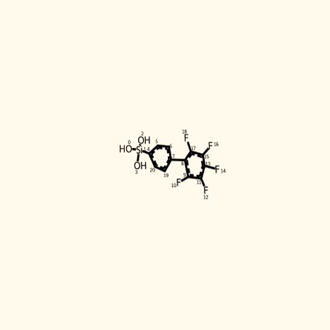 O[Si](O)(O)c1ccc(-c2c(F)c(F)c(F)c(F)c2F)cc1